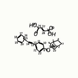 CN1C2CCC1CC(Oc1ccc(C#Cc3ccccc3)cc1)C2.O=C(O)/C=C/C(=O)O